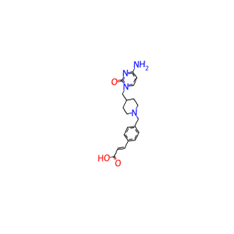 Nc1ccn(CC2CCN(Cc3ccc(C=CC(=O)O)cc3)CC2)c(=O)n1